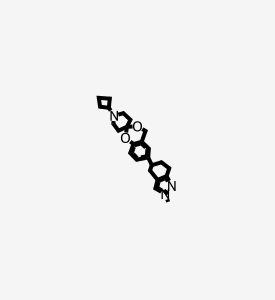 Cn1cc2c(n1)CCC(c1ccc3c(c1)COC1(CCN(C4CCC4)CC1)O3)C2